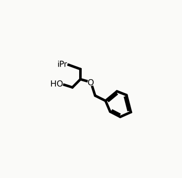 CC(C)CC(CO)OCc1ccccc1